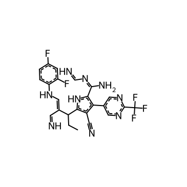 CCC(/C(C=N)=C/Nc1ccc(F)cc1F)c1[nH]c(/C(N)=N\C=N)c(-c2cnc(C(F)(F)F)nc2)c1C#N